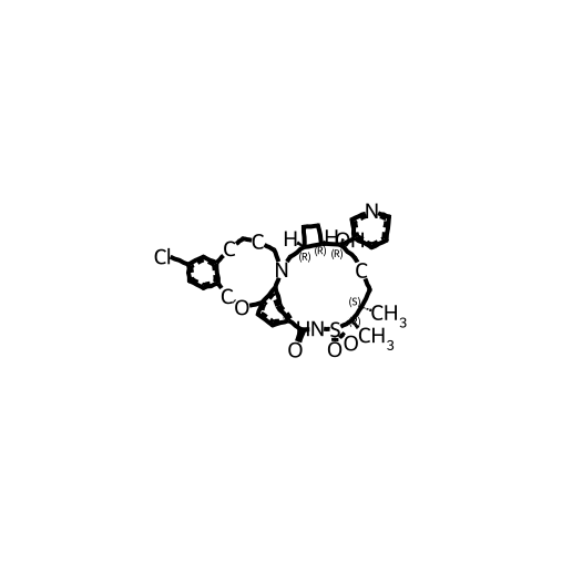 C[C@@H]1[C@@H](C)CCC[C@](O)(c2cccnc2)[C@@H]2CC[C@H]2CN2CCCCc3cc(Cl)ccc3COc3ccc(cc32)C(=O)NS1(=O)=O